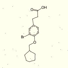 O=C(O)CCc1ccc(OCC2CCCCC2)c(Br)c1